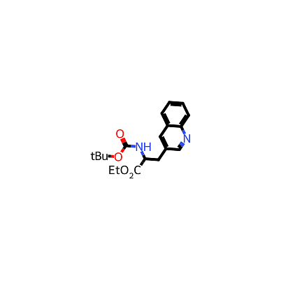 CCOC(=O)C(Cc1cnc2ccccc2c1)NC(=O)OC(C)(C)C